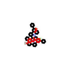 Clc1cc(N(c2cccc(Br)c2)c2c(-c3cccc(-c4ccccc4)c3)cccc2-c2cccc(-c3ccccc3)c2)cc(N(c2cccc(Br)c2)c2c(-c3cccc(-c4ccccc4)c3)cccc2-c2cccc(-c3ccccc3)c2)c1